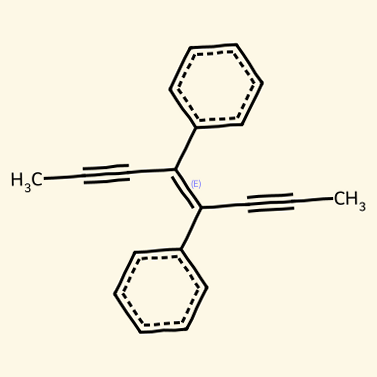 CC#C/C(=C(/C#CC)c1ccccc1)c1ccccc1